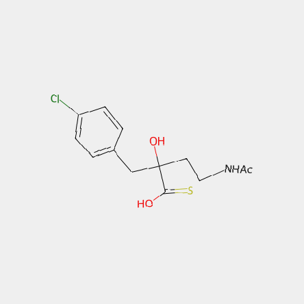 CC(=O)NCCC(O)(Cc1ccc(Cl)cc1)C(O)=S